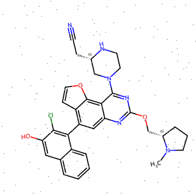 CN1CCC[C@H]1COc1nc(N2CCN[C@@H](CC#N)C2)c2c(cc(-c3c(Cl)c(O)cc4ccccc34)c3ccoc32)n1